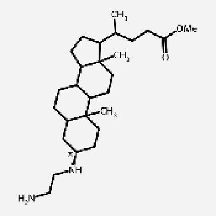 COC(=O)CCC(C)C1CCC2C3CCC4C[C@H](NCCN)CCC4(C)C3CCC12C